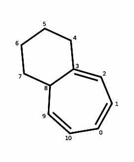 C1=CC=C2CCCCC2C=C1